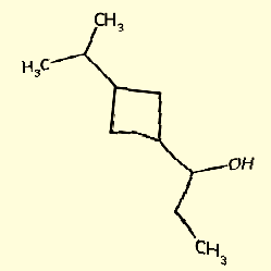 CCC(O)C1CC(C(C)C)C1